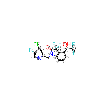 O=C1N(Cc2cc(Cl)c(F)cn2)c2cccc(C(O)C(F)F)c2C1(F)F